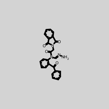 NN=CN(C(=O)CN1C(=O)c2ccccc2C1=O)c1ccccc1C(=O)c1ccccc1